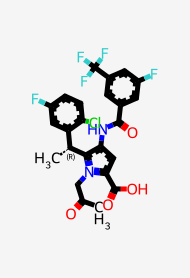 CC(=O)Cn1c(C(=O)O)cc(NC(=O)c2cc(F)cc(C(F)(F)F)c2)c1[C@H](C)c1cc(F)ccc1Cl